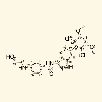 COc1cc(OC)c(Cl)c(-c2ccc3c(NC(=O)c4ccc(NCCO)cc4)n[nH]c3c2)c1Cl